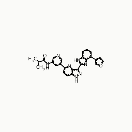 CC(C)C(=O)Nc1cncc(-c2ccc3[nH]nc(-c4nc5c(-c6ccoc6)cccc5[nH]4)c3n2)c1